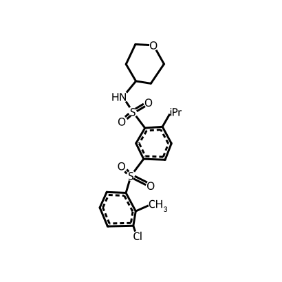 Cc1c(Cl)cccc1S(=O)(=O)c1ccc(C(C)C)c(S(=O)(=O)NC2CCOCC2)c1